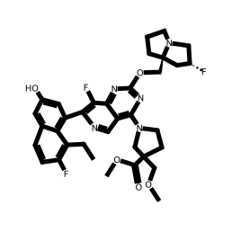 CCc1c(F)ccc2cc(O)cc(-c3ncc4c(N5CCC(COC)(C(=O)OC)C5)nc(OC[C@@]56CCCN5C[C@H](F)C6)nc4c3F)c12